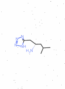 CC(C)C[C@H](N)Cc1nnn[nH]1